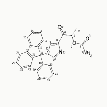 C[C@H](OC(N)=O)C(=O)c1cn(C(c2ccccc2)(c2ccccc2)c2ccccc2)cn1